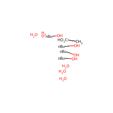 CC(=O)O.CCCCO.CCCCO.CCCCO.CCCCO.O.O.O.O.O